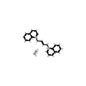 C(=CC[n+]1cccc2ccccc21)C[n+]1cccc2ccccc21.[Br-].[Br-]